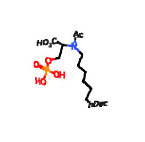 CCCCCCCCCCCCCCCCN(C(C)=O)[C@@H](COP(=O)(O)O)C(=O)O